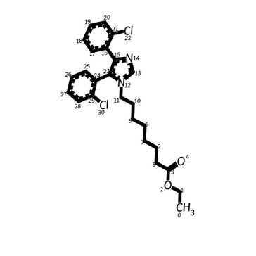 CCOC(=O)CCCCCCCn1cnc(-c2ccccc2Cl)c1-c1ccccc1Cl